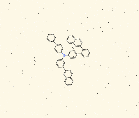 c1ccc(-c2ccc(N(c3ccc(-c4ccccc4-c4ccc5ccccc5c4)cc3)c3cccc(-c4ccc5ccccc5c4)c3)cc2)cc1